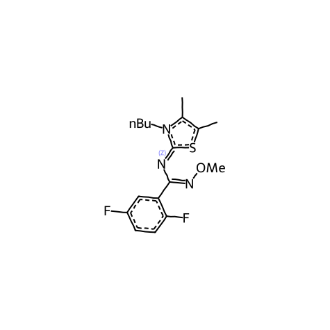 CCCCn1c(C)c(C)s/c1=N\C(=NOC)c1cc(F)ccc1F